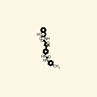 Cc1ccc(NC(=O)Nc2ccc(-c3cc(C(=O)NC(Cc4ccccc4)C(=O)O)on3)cc2)cc1